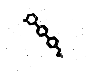 COc1ccc(-c2ccc(C3CCCNC3)cc2)cc1